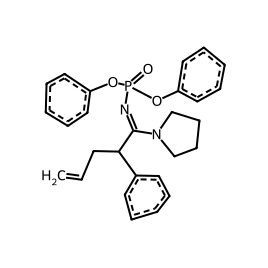 C=CCC(C(=NP(=O)(Oc1ccccc1)Oc1ccccc1)N1CCCC1)c1ccccc1